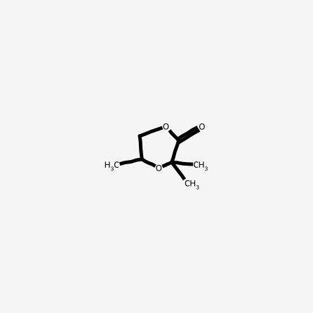 CC1COC(=O)C(C)(C)O1